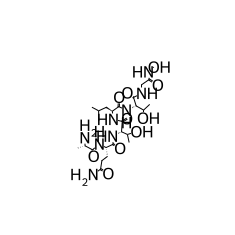 CC(C)C[C@H](NC(=O)[C@@H](NC(=O)[C@H](CCC(N)=O)NC(=O)[C@H](C)N)C(C)O)C(=O)N[C@H](C(=O)NCC(=O)NO)C(C)O